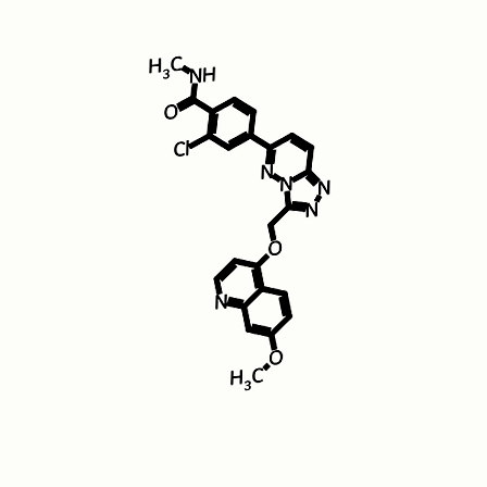 CNC(=O)c1ccc(-c2ccc3nnc(COc4ccnc5cc(OC)ccc45)n3n2)cc1Cl